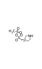 CS(=O)(=O)OS(=O)(=O)C[C@@H]1CCNC1